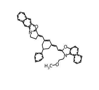 COCCN1C(=CC=C2C=C(C=C3CC[n+]4c3oc3cc5ccccc5cc34)CC(c3ccccc3)C2)Oc2ccc3ccccc3c21